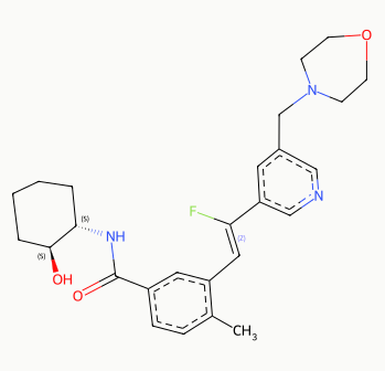 Cc1ccc(C(=O)N[C@H]2CCCC[C@@H]2O)cc1/C=C(\F)c1cncc(CN2CCOCC2)c1